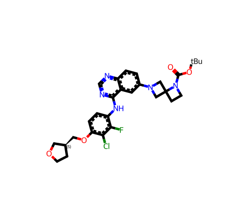 CC(C)(C)OC(=O)N1CCC12CN(c1ccc3ncnc(Nc4ccc(OC[C@H]5CCOC5)c(Cl)c4F)c3c1)C2